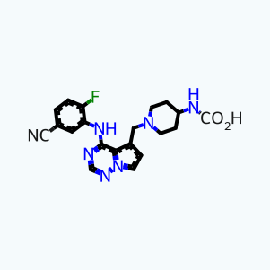 N#Cc1ccc(F)c(Nc2ncnn3ccc(CN4CCC(NC(=O)O)CC4)c23)c1